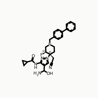 N#CC[C@]1(n2cc(C(N)O)c(NC(=O)C3CC3)n2)CCN(Cc2ccc(-c3ccccc3)cc2)C[C@@H]1F